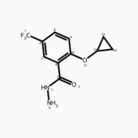 NNC(=O)c1cc(C(F)(F)F)ccc1OC1CC1